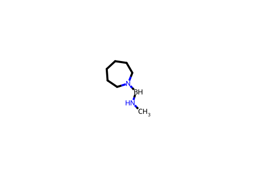 CNBN1CCCCCC1